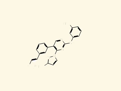 Cc1cccc(Nc2ncc(-c3cccc(/C=C/C(=O)O)c3)c(N3C=CC(C(F)(F)F)N3)n2)c1